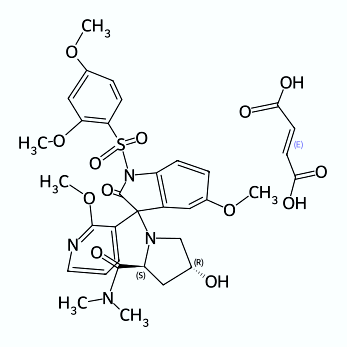 COc1ccc(S(=O)(=O)N2C(=O)C(c3cccnc3OC)(N3C[C@H](O)C[C@H]3C(=O)N(C)C)c3cc(OC)ccc32)c(OC)c1.O=C(O)/C=C/C(=O)O